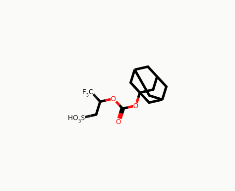 O=C(OC(CS(=O)(=O)O)C(F)(F)F)OC12CC3CC(CC(C3)C1)C2